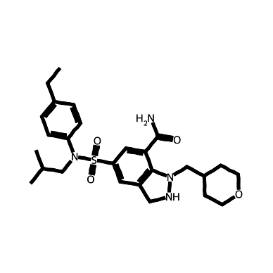 CCc1ccc(N(CC(C)C)S(=O)(=O)c2cc3c(c(C(N)=O)c2)N(CC2CCOCC2)NC3)cc1